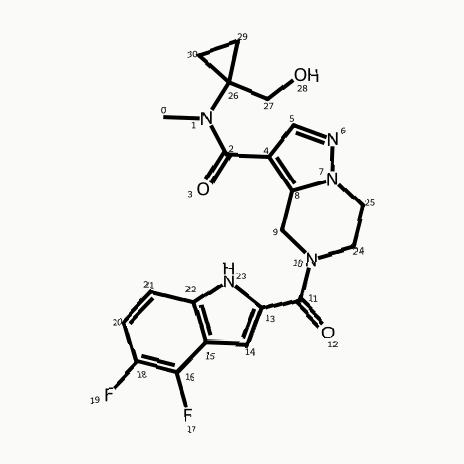 CN(C(=O)c1cnn2c1CN(C(=O)c1cc3c(F)c(F)ccc3[nH]1)CC2)C1(CO)CC1